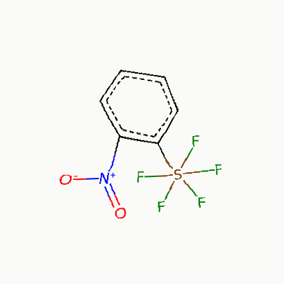 O=[N+]([O-])c1ccccc1S(F)(F)(F)(F)F